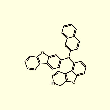 C1=Cc2c(oc3cccc(N(c4ccc5ccccc5c4)c4ccc5c(c4)oc4cnccc45)c23)CN1